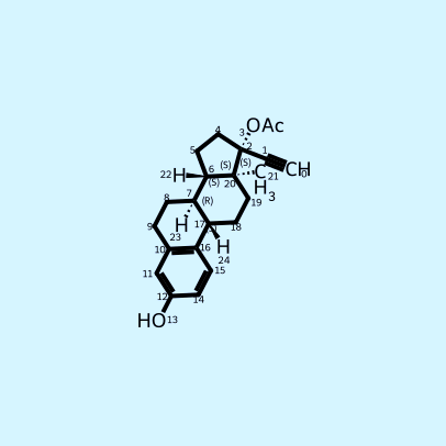 C#C[C@]1(OC(C)=O)CC[C@H]2[C@@H]3CCc4cc(O)ccc4[C@H]3CC[C@@]21C